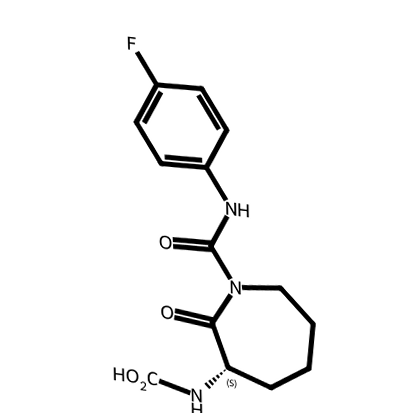 O=C(O)N[C@H]1CCCCN(C(=O)Nc2ccc(F)cc2)C1=O